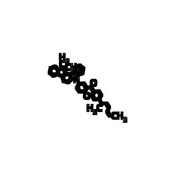 C=C(/C=C\C=C/C)c1ccc2c(=O)c3cc(-n4c5ccccc5c5c6c(ccc54)-c4ccccc4C6(C)C)ccc3oc2c1